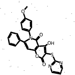 COc1ccc(-n2c(-c3ccccc3)cc3oc(=O)c(Sc4ncccn4)c(O)c3c2=O)cc1